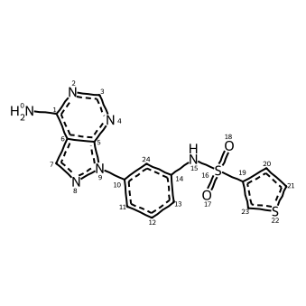 Nc1ncnc2c1cnn2-c1cccc(NS(=O)(=O)c2ccsc2)c1